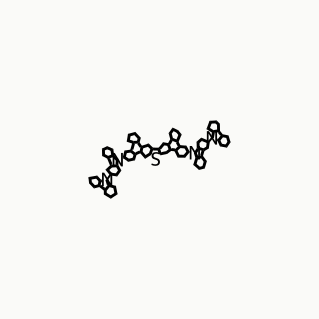 c1ccc2c(c1)c1cc(-n3c4ccccc4c4cc(-n5c6ccccc6c6ccccc65)ccc43)ccc1c1cc3sc4cc5c6ccc(-n7c8ccccc8c8cc(-n9c%10ccccc%10c%10ccccc%109)ccc87)cc6c6ccccc6c5cc4c3cc21